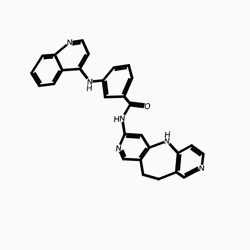 O=C(Nc1cc2c(cn1)CCc1cnccc1N2)c1cccc(Nc2ccnc3ccccc23)c1